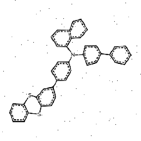 c1ccc(-c2ccc(N(c3ccc(-c4ccc5c(c4)Sc4ccccc4S5)cc3)c3cccc4ccccc34)cc2)cc1